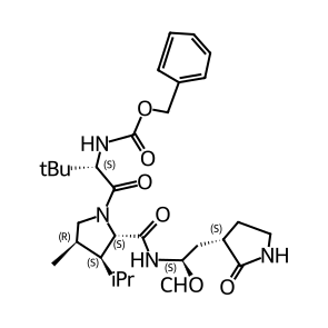 CC(C)[C@@H]1[C@@H](C(=O)N[C@H](C=O)C[C@@H]2CCNC2=O)N(C(=O)[C@@H](NC(=O)OCc2ccccc2)C(C)(C)C)C[C@@H]1C